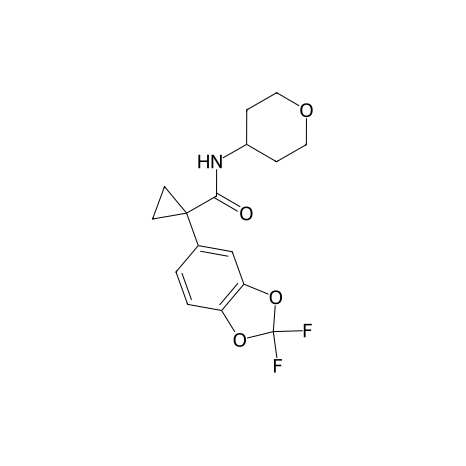 O=C(NC1CCOCC1)C1(c2ccc3c(c2)OC(F)(F)O3)CC1